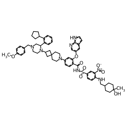 COc1ccc(CN2CCN(C3CC4(CCN(c5ccc(C(=O)NS(=O)(=O)c6ccc(NCC7CCC(C)(O)CC7)c([N+](=O)[O-])c6)c(Oc6cnc7[nH]ccc7c6)c5)CC4)C3)C(c3ccccc3C3CCCC3)C2)cc1